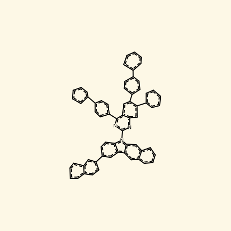 c1ccc(-c2ccc(-c3cc4c(-c5ccc(-c6ccccc6)cc5)nc(-n5c6ccc(-c7ccc8ccccc8c7)cc6c6cc7ccccc7cc65)nc4cc3-c3ccccc3)cc2)cc1